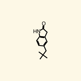 CC(C)(C)Cc1ccc2c(c1)CC(=O)N2